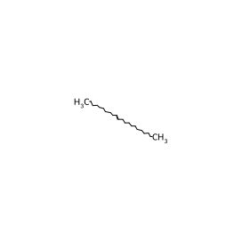 CCCCCCCCCC=CCCCCCCCCCCC